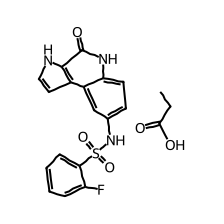 CCC(=O)O.O=c1[nH]c2ccc(NS(=O)(=O)c3ccccc3F)cc2c2cc[nH]c12